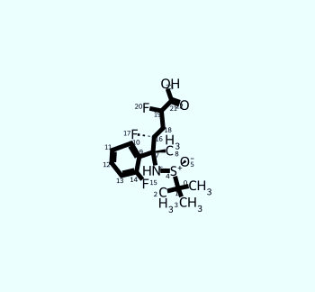 CC(C)(C)[S@@+]([O-])N[C@](C)(c1ccccc1F)[C@H](F)CC(F)C(=O)O